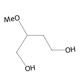 [CH2]OC(CO)CCO